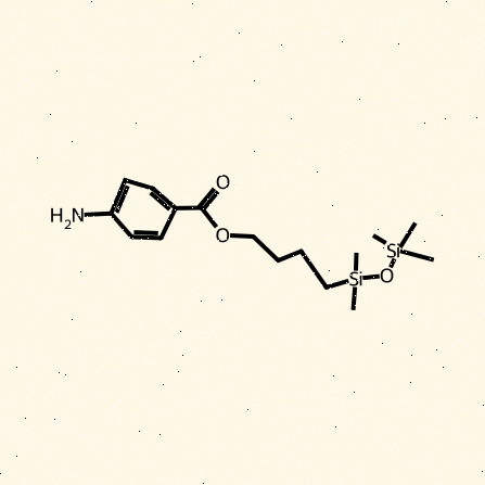 C[Si](C)(C)O[Si](C)(C)CCCCOC(=O)c1ccc(N)cc1